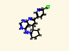 Nc1ncnc2nc(-c3ccc(Cl)nc3)cc(C3CCCCC3)c12